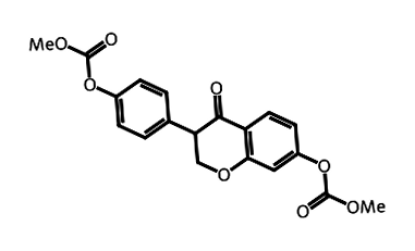 COC(=O)Oc1ccc(C2COc3cc(OC(=O)OC)ccc3C2=O)cc1